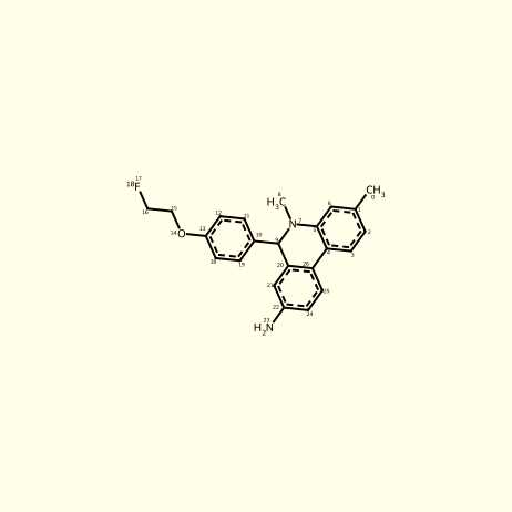 Cc1ccc2c(c1)N(C)C(c1ccc(OCC[18F])cc1)c1cc(N)ccc1-2